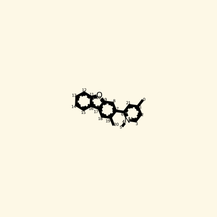 Cc1cc[n+](C)c(-c2cc3oc4ccccc4c3cc2C)c1